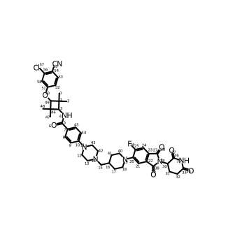 CC1(C)C(NC(=O)c2ccc(N3CCN(CC4CCN(c5cc6c(cc5F)C(=O)N(C5CCC(=O)NC5=O)C6=O)CC4)CC3)cc2)C(C)(C)C1Oc1ccc(C#N)c(Cl)c1